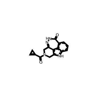 O=C1NN=C2CN(C(=O)C3=CC3)Cc3[nH]c4cccc1c4c32